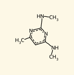 CNc1cc(C)nc(NC)n1